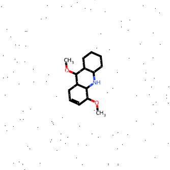 COC1C=CCC2C1NC1CCCCC1C2OC